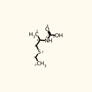 CCSCC(C)NC(=O)O